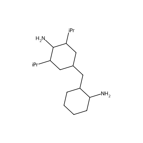 CC(C)C1CC(CC2CCCCC2N)CC(C(C)C)C1N